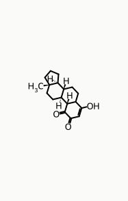 C[C@@]12CCC[C@H]1[C@@H]1CCC3C(O)=CC(=O)C(=O)[C@@H]3[C@H]1CC2